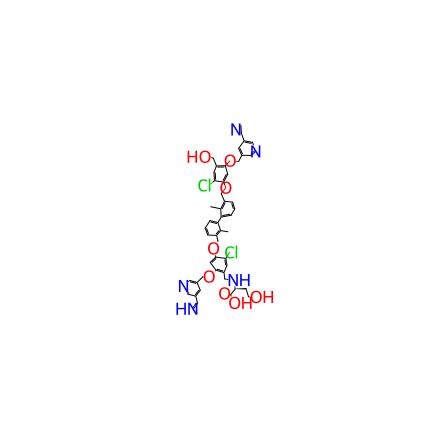 Cc1c(COc2cc(OCc3cncc(C4=NC4)c3)c(CO)cc2Cl)cccc1-c1cccc(COc2cc(OCc3cncc(C=N)c3)c(CN[C@@H](CCO)C(=O)O)cc2Cl)c1C